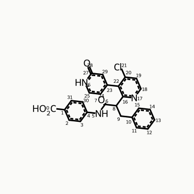 O=C(O)c1ccc(NC(=O)C(Cc2ccccc2)c2nccc(Cl)c2-c2cc[nH]c(=O)c2)cc1